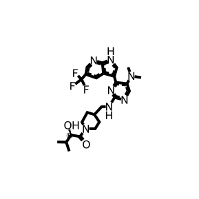 CC(C)[C@@H](O)C(=O)N1CCC(CNc2ncc(N(C)C)c(-c3c[nH]c4ncc(C(F)(F)F)cc34)n2)CC1